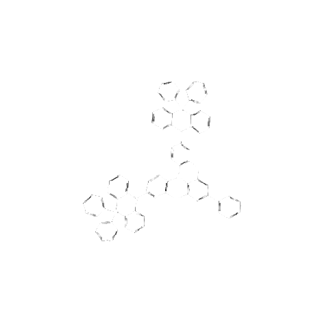 c1ccc(-c2cc3c4c(c2)Sc2cc(N5c6ccccc6[Si](c6ccccc6)(c6ccccc6)c6ccccc65)ccc2B4c2ccc(N4c5ccccc5[Si](c5ccccc5)(c5ccccc5)c5ccccc54)cc2O3)cc1